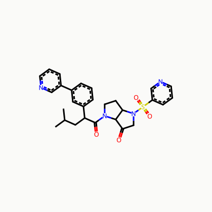 CC(C)CC(C(=O)N1CCC2C1C(=O)CN2S(=O)(=O)c1cccnc1)c1cccc(-c2cccnc2)c1